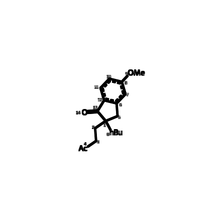 CCCCC1(CCC(C)=O)Cc2cc(OC)ccc2C1=O